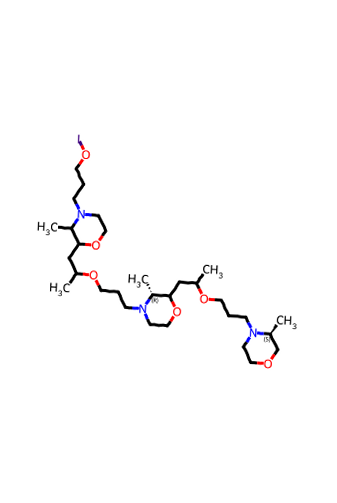 CC(CC1OCCN(CCCOI)C1C)OCCCN1CCOC(CC(C)OCCCN2CCOC[C@@H]2C)[C@H]1C